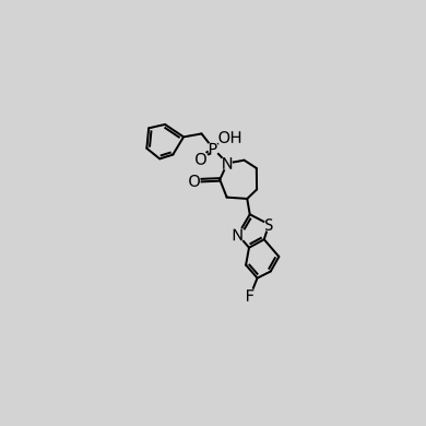 O=C1CC(c2nc3cc(F)ccc3s2)CCCN1P(=O)(O)Cc1ccccc1